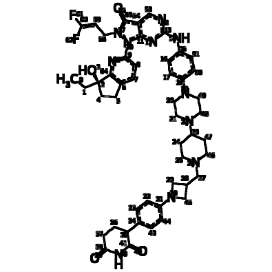 CC[C@@]1(O)CCc2ccc(-n3c4nc(Nc5ccc(N6CCN(C7CCN(CC8CN(c9ccc(C%10CCC(=O)NC%10=O)cc9)C8)CC7)CC6)cc5)ncc4c(=O)n3CC=C(F)F)nc21